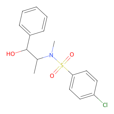 CC(C(O)c1ccccc1)N(C)S(=O)(=O)c1ccc(Cl)cc1